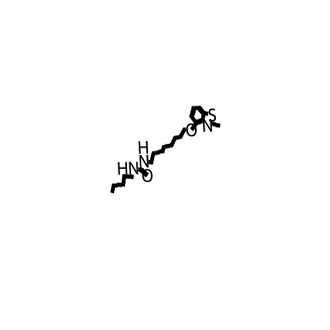 CCCCCNC(=O)NCCCCCCCCOc1cccc2sc(C)nc12